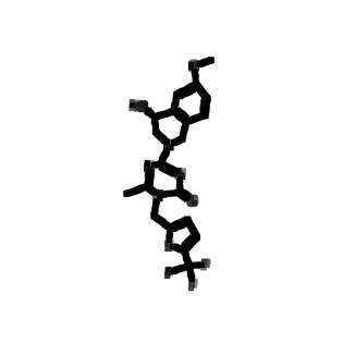 COc1ccc2c(c1)[C@H](O)CN(c1nc(C)n(Cc3ccc(C(F)(F)F)s3)c(=O)n1)C2